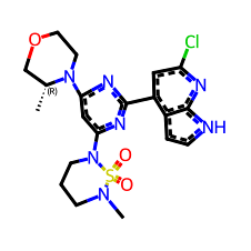 C[C@@H]1COCCN1c1cc(N2CCCN(C)S2(=O)=O)nc(-c2cc(Cl)nc3[nH]ccc23)n1